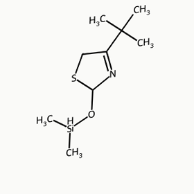 C[SiH](C)OC1N=C(C(C)(C)C)CS1